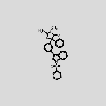 CN1C(=O)C(c2ccccc2)(c2cccc(-c3cn(S(=O)(=O)c4ccccc4)c4ccccc34)c2)N=C1N